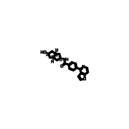 O=C(N[C@H]1C[C@H]2C[C@@H](O)C[C@H]2C1)c1ccc(-c2nccc3occc23)cc1